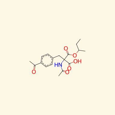 CCC(C)OC(=O)C(Cc1ccc(C(C)=O)cc1)(NC(C)=O)C(=O)O